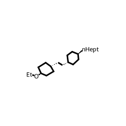 CCCCCCC[C@H]1CC[C@H](CC[C@H]2CC[C@H](OCC)CC2)CC1